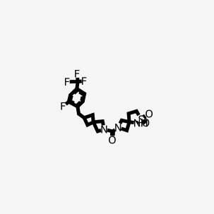 O=C(N1CC2(CC(Cc3ccc(C(F)(F)F)cc3F)C2)C1)N1CC2(CCS(=O)(=O)N2)C1